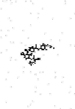 CC[C@@H](NC(=O)O)c1ccc(Cl)c(C(=O)c2ccc(NCc3ccc(OC)cc3)nc2)c1F